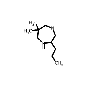 CCCC1CNCC(C)(C)CN1